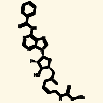 CN(C/C=C\CNC(=O)OC(C)(C)C)C[C@H]1O[C@@H](n2cnc3c(NC(=O)c4ccccc4)ncnc32)[C@@H](F)[C@@H]1O